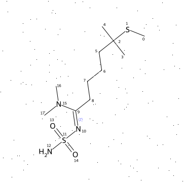 CSC(C)(C)CCCC/C(=N/S(N)(=O)=O)N(C)C